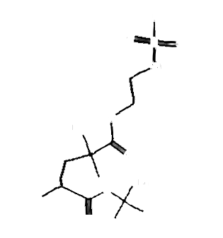 CCC(C)(CC(C)C(=O)OC(C)(C)C(C)(C)C)C(=O)OCCNS(=O)(=O)C(F)(F)F